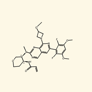 C=CC(=O)N[C@H]1CCOC[C@H]1N(C)c1ncc2cc(-c3c(F)c(OC)cc(OC)c3F)nc(N3CC(OC)C3)c2n1